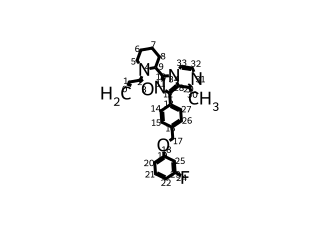 C=CC(=O)N1CCCCC1c1nc(-c2ccc(COc3cccc(F)c3)cc2)c2c(C)nccn12